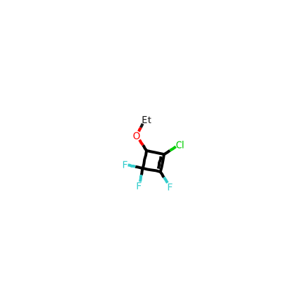 CCOC1C(Cl)=C(F)C1(F)F